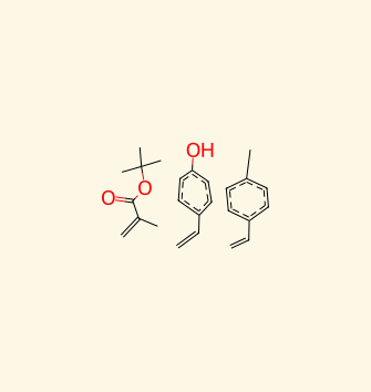 C=C(C)C(=O)OC(C)(C)C.C=Cc1ccc(C)cc1.C=Cc1ccc(O)cc1